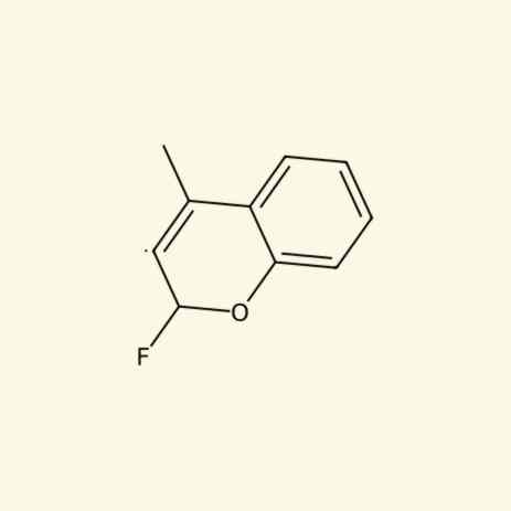 CC1=[C]C(F)Oc2ccccc21